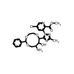 COC(=O)c1ncc(Cl)cc1-n1nc(C)nc1C1OCCOC(c2ccccc2)OCC(N)C1O